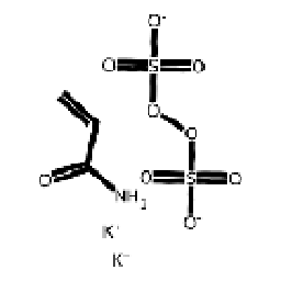 C=CC(N)=O.O=S(=O)([O-])OOS(=O)(=O)[O-].[K+].[K+]